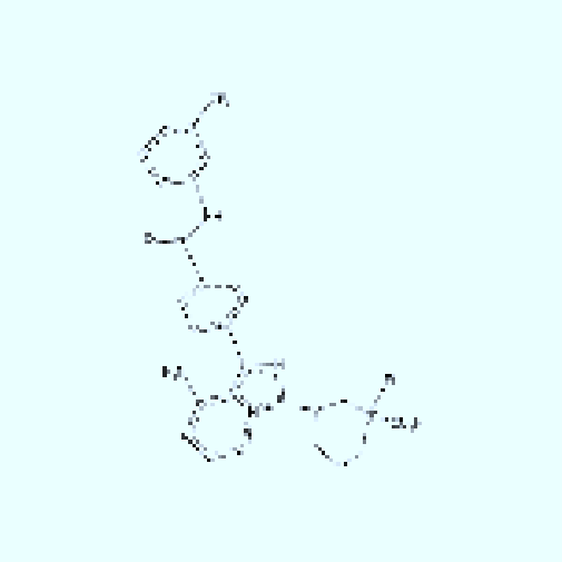 CC[N+]1(C(=O)O)CCCC(c2nc(-c3ccc(C(=O)Nc4cc(C(F)(F)F)ccn4)cc3)c3c(N)nccn23)C1